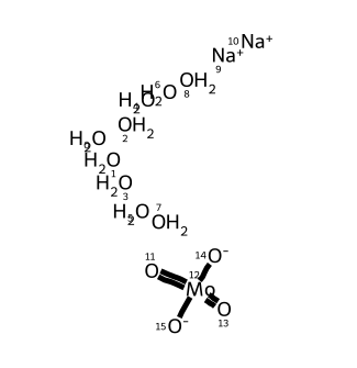 O.O.O.O.O.O.O.O.O.[Na+].[Na+].[O]=[Mo](=[O])([O-])[O-]